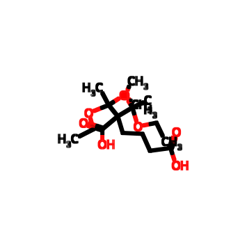 CCOC(C)(OC)C(CCCC(=O)O)(C(=O)O)C(C)(OC)OCC